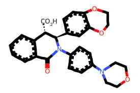 O=C(O)[C@H]1c2ccccc2C(=O)N(c2ccc(N3CCOCC3)cc2)[C@@H]1c1ccc2c(c1)OCCO2